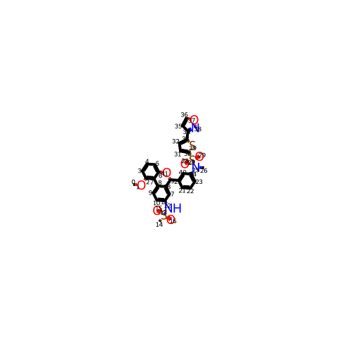 COc1cccc2c1-c1ccc(NS(C)(=O)=O)cc1C(c1cccc(N(C)S(=O)(=O)c3ccc(-c4ccon4)s3)c1)O2